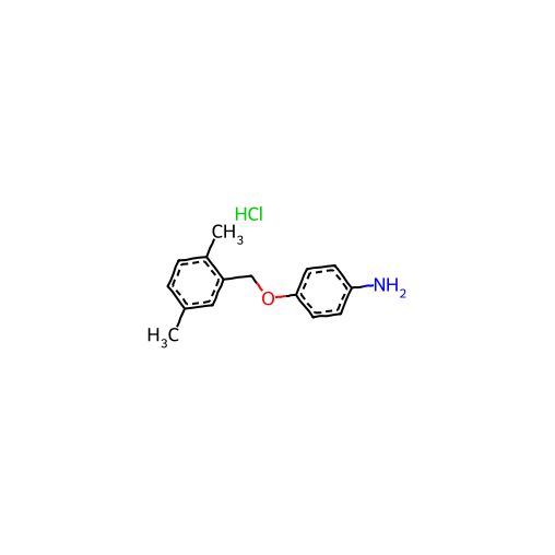 Cc1ccc(C)c(COc2ccc(N)cc2)c1.Cl